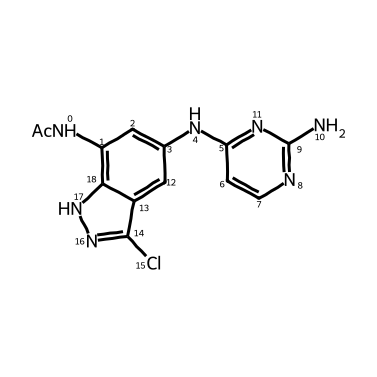 CC(=O)Nc1cc(Nc2ccnc(N)n2)cc2c(Cl)n[nH]c12